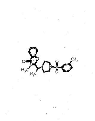 Cc1cccc(S(=O)(=O)N2CCN(C(C)c3nc4ccccc4c(=O)n3C)CC2)c1